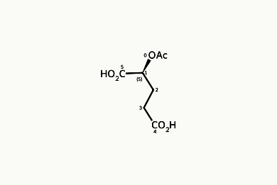 CC(=O)O[C@@H](CCC(=O)O)C(=O)O